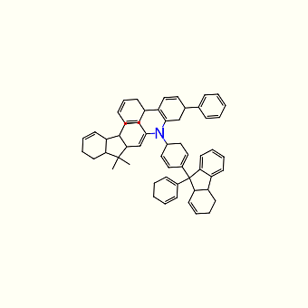 CC1(C)C2C=C(N(C3=C(C4C=CC=CC4)C=CC(c4ccccc4)C3)C3C=CC(C4(C5=CCCC=C5)c5ccccc5C5CCC=CC54)=CC3)CCC2C2C=CCCC21